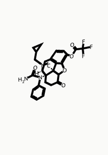 NC(=O)N(c1ccccc1)[C@@]12CCC(=O)C3Oc4c(OC(=O)C(F)(F)F)ccc5c4[C@@]31CCN(CC1CC1)[C@@H]2C5